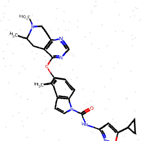 Cc1c(Oc2ncnc3c2CC(C)N(C(=O)O)C3)ccc2c1ccn2C(=O)Nc1cc(C2CC2)on1